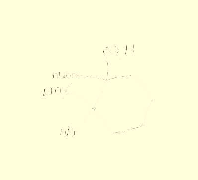 CCCCCCCCCC1(C(=O)O)CCCCC1(CCC)C(=O)O